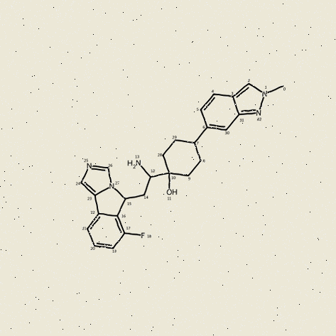 Cn1cc2ccc(C3CCC(O)(C(N)CC4c5c(F)cccc5-c5cncn54)CC3)cc2n1